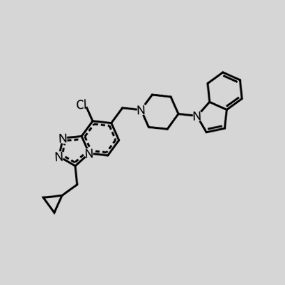 Clc1c(CN2CCC(N3C=CC4=CC=CCC43)CC2)ccn2c(CC3CC3)nnc12